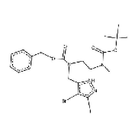 Cc1n[nH]c(CN(CCN(C)C(=O)OC(C)(C)C)C(=O)OCc2ccccc2)c1Br